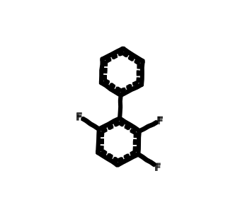 Fc1ccc(F)c(-c2ccccc2)c1F